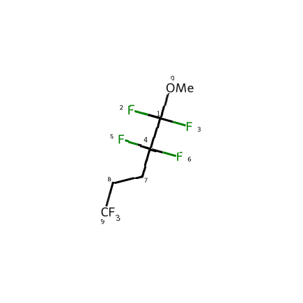 COC(F)(F)C(F)(F)CCC(F)(F)F